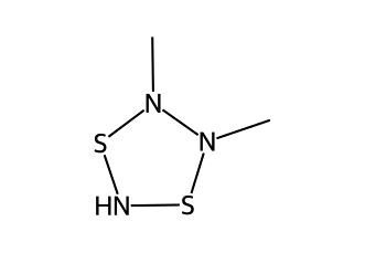 Cn1s[nH]sn1C